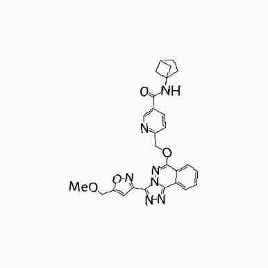 COCc1cc(-c2nnc3c4ccccc4c(OCc4ccc(C(=O)NC56CCC(C5)C6)cn4)nn23)no1